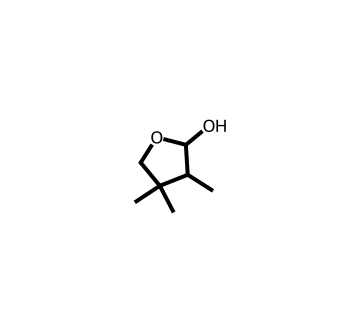 CC1C(O)OCC1(C)C